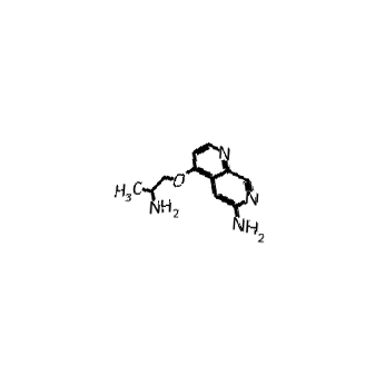 CC(N)COc1ccnc2cnc(N)cc12